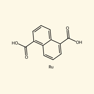 O=C(O)c1cccc2c(C(=O)O)cccc12.[Ru]